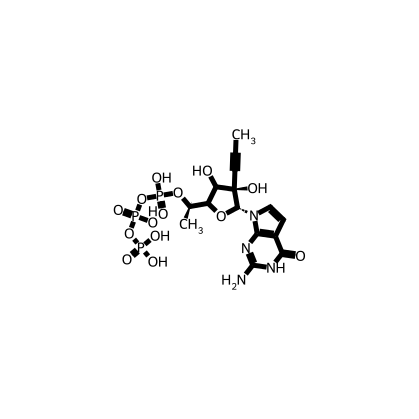 CC#C[C@@]1(O)C(O)C([C@@H](C)OP(=O)(O)OP(=O)(O)OP(=O)(O)O)O[C@H]1n1ccc2c(=O)[nH]c(N)nc21